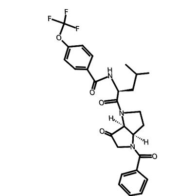 CC(C)C[C@H](NC(=O)c1ccc(OC(F)(F)F)cc1)C(=O)N1CC[C@@H]2[C@H]1C(=O)CN2C(=O)c1ccccc1